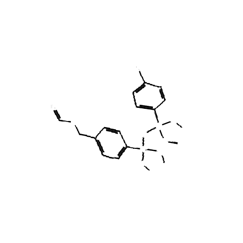 CO[Si](OC)(O[Si](OC)(OC)c1ccc(COC=N)cc1)c1ccc(N)cc1